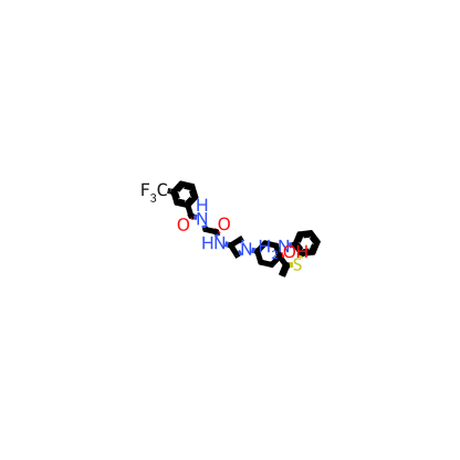 C=C(Sc1ccccc1N)C1(O)CCC(N2CC(NC(=O)CNC(=O)c3cccc(C(F)(F)F)c3)C2)CC1